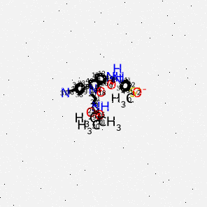 C[S+]([O-])c1ccc(NC(=O)Nc2ccc3c(c2)C(=O)N(CCCNC(=O)OC(C)(C)C)[C@@H](c2ccc(C#N)cc2)C3)cc1